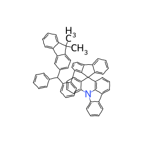 CC1(C)c2ccccc2-c2cc(C(c3ccccc3)c3ccccc3-c3cccc4c3C3(c5ccccc5-4)c4ccccc4-n4c5ccccc5c5cccc3c54)ccc21